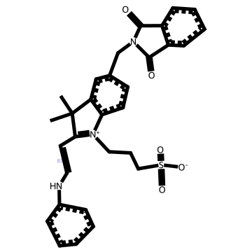 CC1(C)C(/C=C/Nc2ccccc2)=[N+](CCCS(=O)(=O)[O-])c2ccc(CN3C(=O)c4ccccc4C3=O)cc21